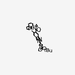 Cc1cc2cn(C3CN(C(=O)OC(C)(C)C)C3)nc2cc1C(=O)NC1(c2cccc3ccccc23)CC1